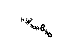 C=C(C)C(=O)OCCOc1ccc(/N=N/c2ccc(/N=N/c3ccccc3)c3ccccc23)cc1